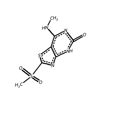 CNc1nc(=O)[nH]c2nc(S(C)(=O)=O)sc12